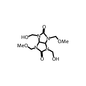 COCN1C(=O)N(CO)C2C1N(CO)C(=O)N2COC